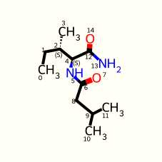 CC[C@H](C)[C@H](NC(=O)CC(C)C)C(N)=O